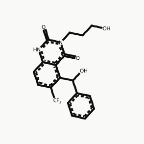 O=c1[nH]c2ccc(C(F)(F)F)c(C(O)c3ccccc3)c2c(=O)n1CCCO